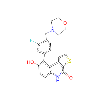 O=c1[nH]c2ccc(O)c(-c3ccc(CN4CCOCC4)c(F)c3)c2c2ccsc12